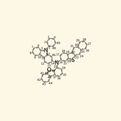 c1ccc(-n2c3ccccc3c3ccc(N(c4ccc5c(c4)sc4cc6ccccc6cc45)c4cccc5c4oc4ccccc45)cc32)cc1